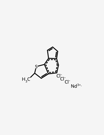 CC1C=c2ccc3c(c2S1)C=CC=3.[Cl-].[Cl-].[Cl-].[Nd+3]